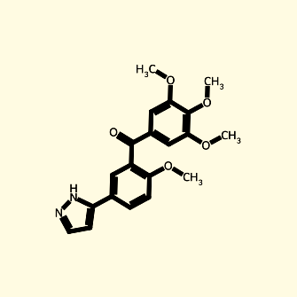 COc1ccc(-c2ccn[nH]2)cc1C(=O)c1cc(OC)c(OC)c(OC)c1